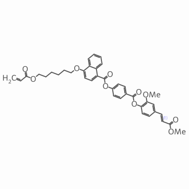 C=CC(=O)OCCCCCCOc1ccc(C(=O)Oc2ccc(C(=O)Oc3ccc(/C=C/C(=O)OC)cc3OC)cc2)c2ccccc12